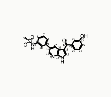 CS(=O)(=O)Nc1cccc(-c2cnc3[nH]cc(C(=O)c4cccc(O)c4)c3c2)c1